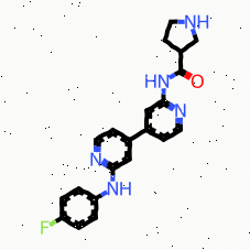 O=C(Nc1cc(-c2ccnc(Nc3ccc(F)cc3)c2)ccn1)C1CCNC1